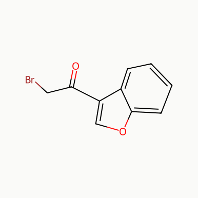 O=C(CBr)c1coc2ccccc12